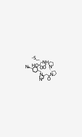 CSCC[C@H](NC(=O)[C@@H]1CCCN1C[C@@H]1CCCN1C(=O)Cc1cncn1Cc1ccc(C#N)cc1)C(=O)O